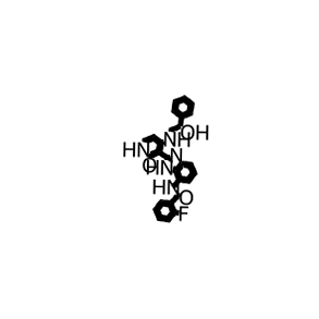 O=C(Nc1cccc2nc(-c3c(NCC(O)c4ccccc4)cc[nH]c3=O)[nH]c12)c1ccccc1F